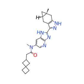 CN(C(=O)CC1CC2(CCC2)C1)c1cnc2nc(-c3n[nH]c4c3C[C@@H]3C[C@]3(C)C4)[nH]c2c1